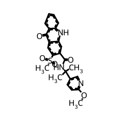 COc1ccc(C(C)(C)NC(=O)c2cc3[nH]c4ccccc4c(=O)c3cc2S(C)(=O)=O)cn1